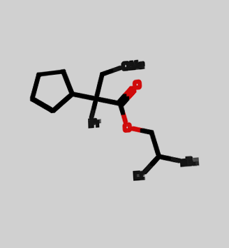 CCCCC(CC)COC(=O)C(COC)(C(C)C)C1CCCC1